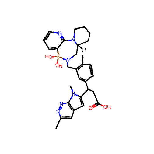 Cc1cc2cc(C(CC(=O)O)c3ccc(C)c(CN4C[C@H]5CCCCN5c5ncccc5S4(O)O)c3)n(C)c2nn1